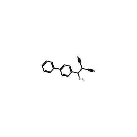 CC(c1ccc(-c2ccccc2)cc1)C(C#N)C#N